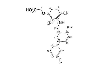 O=C(O)COc1ccc(Cl)c(NCc2cc(-c3cccc(F)c3)ccc2F)c1Cl